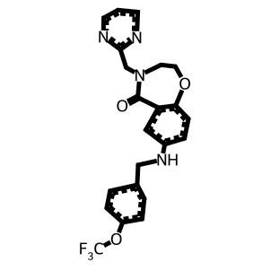 O=C1c2cc(NCc3ccc(OC(F)(F)F)cc3)ccc2OCCN1Cc1ncccn1